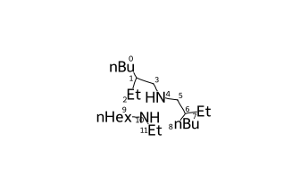 CCCCC(CC)CNCC(CC)CCCC.CCCCCCNCC